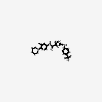 Cc1cc(NC(=O)c2nnc(Nc3ccc(C(F)(F)F)cc3)o2)cnc1N1CC[CH]CC1